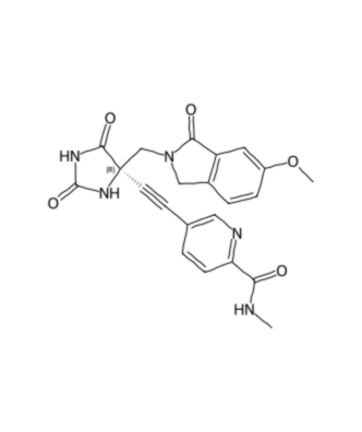 CNC(=O)c1ccc(C#C[C@]2(CN3Cc4ccc(OC)cc4C3=O)NC(=O)NC2=O)cn1